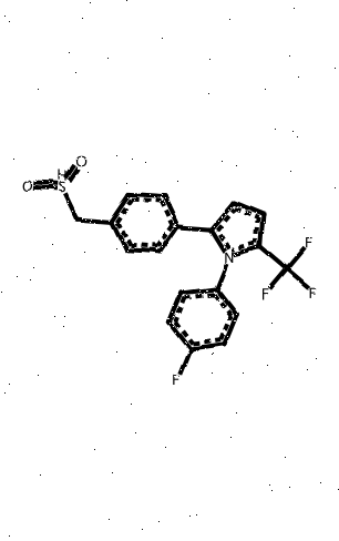 O=[SH](=O)Cc1ccc(-c2ccc(C(F)(F)F)n2-c2ccc(F)cc2)cc1